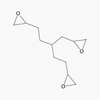 C(CC1CO1)C(CCC1CO1)CC1CO1